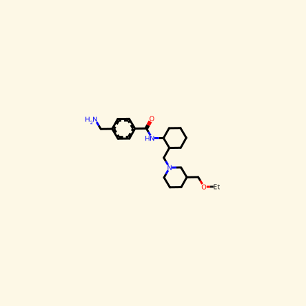 CCOCC1CCCN(CC2CCCCC2NC(=O)c2ccc(CN)cc2)C1